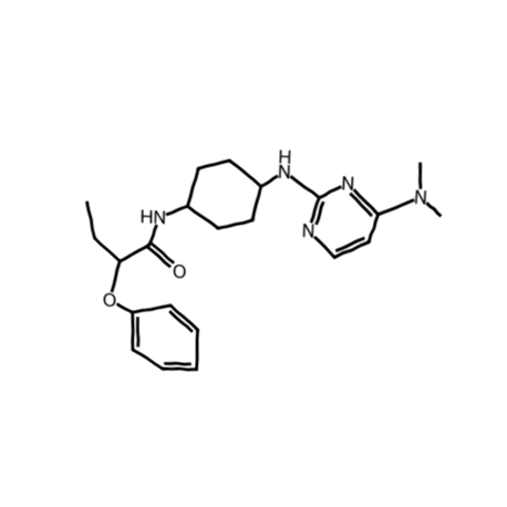 CCC(Oc1ccccc1)C(=O)NC1CCC(Nc2nccc(N(C)C)n2)CC1